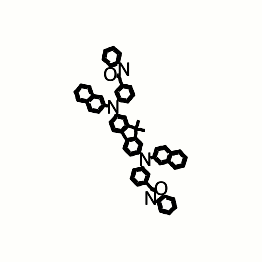 CC1(C)c2cc(N(c3cccc(-c4nc5ccccc5o4)c3)c3ccc4ccccc4c3)ccc2-c2ccc(N(c3cccc(-c4nc5ccccc5o4)c3)c3ccc4ccccc4c3)cc21